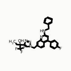 CC[C@](O)(c1cn(Cc2ccc3c(-c4ccc(F)cc4)cc(NCc4ccccc4)nc3c2)nn1)C(F)(F)F